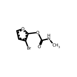 CNC(=O)Oc1occc1Br